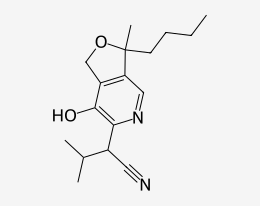 CCCCC1(C)OCc2c1cnc(C(C#N)C(C)C)c2O